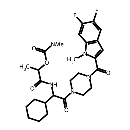 CNC(=O)OC(C)C(=O)NC(C(=O)N1CCN(C(=O)c2cc3cc(F)c(F)cc3n2C)CC1)C1CCCCC1